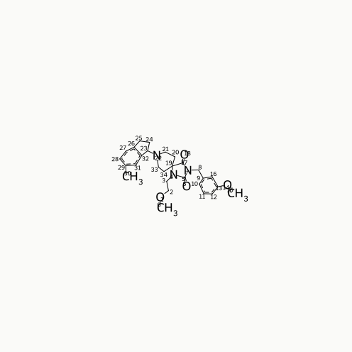 COCCN1C(=O)N(Cc2cccc(OC)c2)C(=O)C12CCN(C1CCc3ccc(C)cc31)CC2